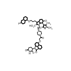 Cc1nn(C)c(C)c1-c1c(Cl)ccc2c(CCCOc3cccc4cc(F)ccc34)c(C(=O)O)n(CCN3CCN(C(=O)COc4ccc5c6c(cccc46)C(=O)N5C4CCC(=O)NC4=O)CC3)c12